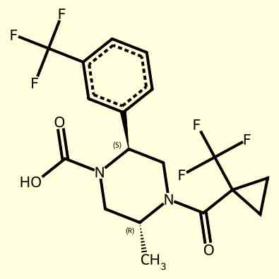 C[C@@H]1CN(C(=O)O)[C@@H](c2cccc(C(F)(F)F)c2)CN1C(=O)C1(C(F)(F)F)CC1